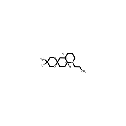 CCCN1CCC[C@@H]2CC3(CC[C@H]21)OCC(C)(C)CO3